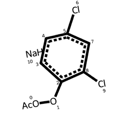 CC(=O)OOc1ccc(Cl)cc1Cl.[NaH]